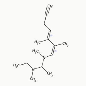 C#CC/C=C(C)/C(C)=C\N(C)C(C)N(C)CC